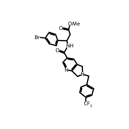 COC(=O)CC(NC(=O)c1cnc2c(c1)CN(Cc1ccc(C(F)(F)F)cc1)C2)c1ccc(Br)cc1